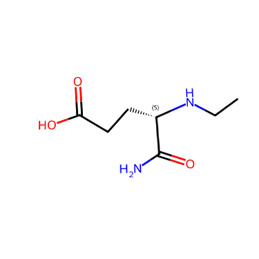 CCN[C@@H](CCC(=O)O)C(N)=O